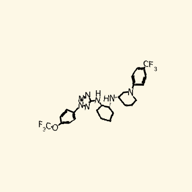 FC(F)(F)Oc1ccc(-n2nnc(N[C@@H]3CCCC[C@H]3N[C@H]3CCCN(c4ccc(C(F)(F)F)cc4)C3)n2)cc1